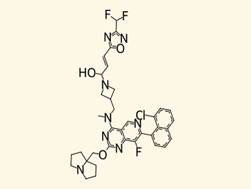 CN(CC1CN(C(O)/C=C/c2nc(C(F)F)no2)C1)c1nc(OCC23CCCN2CCC3)nc2c(F)c(-c3cccc4cccc(Cl)c34)ncc12